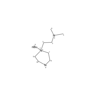 CCCC[N+]1(CCN(C)C)CC[N]CC1